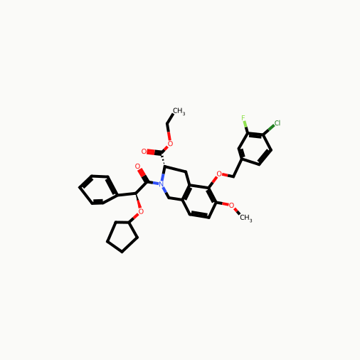 CCOC(=O)[C@@H]1Cc2c(ccc(OC)c2OCc2ccc(Cl)c(F)c2)CN1C(=O)[C@@H](OC1CCCC1)c1ccccc1